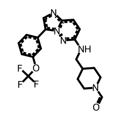 O=CN1CCC(CNc2ccc3ncc(-c4cccc(OC(F)(F)F)c4)n3n2)CC1